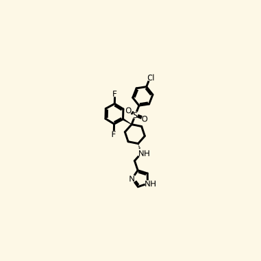 O=S(=O)(c1ccc(Cl)cc1)[C@]1(c2cc(F)ccc2F)CC[C@H](NCc2c[nH]cn2)CC1